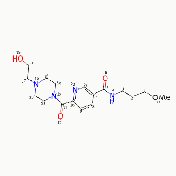 COCCCNC(=O)c1ccc(C(=O)N2CCN(CCO)CC2)nc1